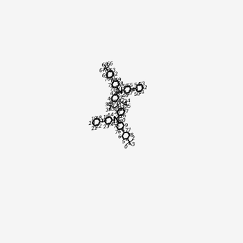 CC(C)(C)c1ccc(-c2ccc(N(c3ccc(-c4ccccc4)cc3)c3ccc4c(c3)C3(CC4(C)C)CC(C)(C)c4ccc(N(c5ccc(-c6ccccc6)cc5)c5ccc(-c6ccc(C(C)(C)C)cc6)cc5)cc43)cc2)cc1